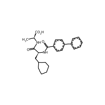 C[C@H](NC(=O)[C@H](CC1CCCCC1)NC(=O)c1ccc(-c2ccccc2)cc1)C(=O)O